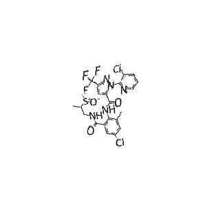 Cc1cc(Cl)cc(C(=O)NCC(C)[S+](C)[O-])c1NC(=O)c1cc(C(F)(F)F)nn1-c1ncccc1Cl